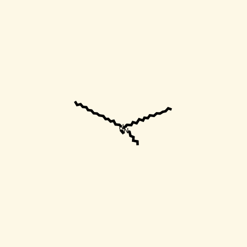 CCCCCCCCCCCCCCCCC[n+]1ccn(CCCCCC)c1CCCCCCCCCCCCCCCC